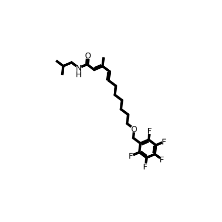 CC(C=CCCCCCCOCc1c(F)c(F)c(F)c(F)c1F)=CC(=O)NCC(C)C